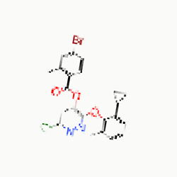 Cc1cc(Br)ccc1C(=O)Oc1cc(Cl)nnc1Oc1c(C)cccc1C1CC1